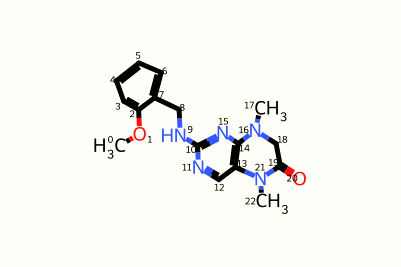 COc1ccccc1CNc1ncc2c(n1)N(C)CC(=O)N2C